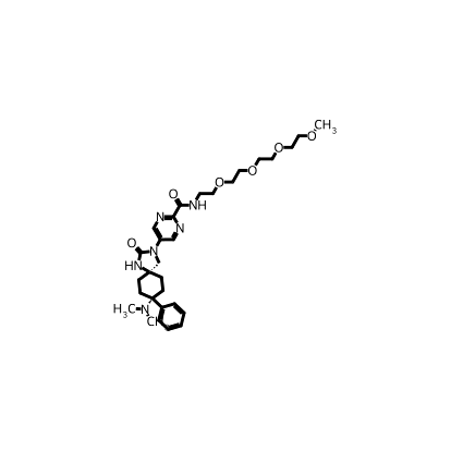 COCCOCCOCCOCCNC(=O)c1ncc(N2C[C@]3(CC[C@@](c4ccccc4)(N(C)C)CC3)NC2=O)cn1